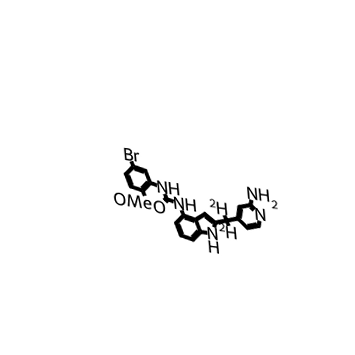 [2H]C([2H])(c1ccnc(N)c1)c1cc2c(NC(=O)Nc3cc(Br)ccc3OC)cccc2[nH]1